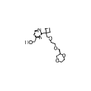 OCc1ccnc(C2(COCCOCC3COCCO3)CCC2)n1